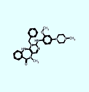 COc1cc(N2CCN(C)CC2)ccc1NC1N=CC2=C(Nc3ccccc3C(=O)N2C)N1Cc1ccccc1